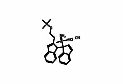 C[Si](C)(C)OCCC1=Cc2ccccc2C1[C]1([Zr]([CH3])([CH3])=[SiH2])C=Cc2ccccc21.Cl.Cl